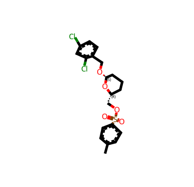 Cc1ccc(S(=O)(=O)OC[C@H]2CCC[C@@H](OCc3ccc(Cl)cc3Cl)O2)cc1